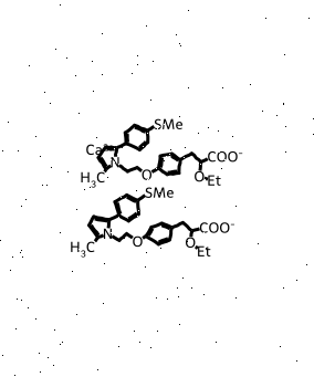 CCOC(Cc1ccc(OCCn2c(C)ccc2-c2ccc(SC)cc2)cc1)C(=O)[O-].CCOC(Cc1ccc(OCCn2c(C)ccc2-c2ccc(SC)cc2)cc1)C(=O)[O-].[Ca+2]